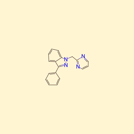 c1ccc(-c2nn(Cc3ncccn3)c3ccccc23)cc1